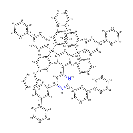 c1ccc(-c2ccc([Si](c3ccccc3)(c3ccc(-c4ccccc4)cc3)c3cc(-c4cc(-c5cccc(-c6ccccc6)c5)nc(-c5cccc(-c6ccccc6)c5)n4)cc([Si](c4ccccc4)(c4ccc(-c5ccccc5)cc4)c4ccc(-c5ccccc5)cc4)c3)cc2)cc1